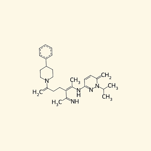 C=C(CC/C(C(C)=N)=C(\C)NC1=NN(C(C)C)C(=C)C=C1)N1CCC(c2ccccc2)CC1